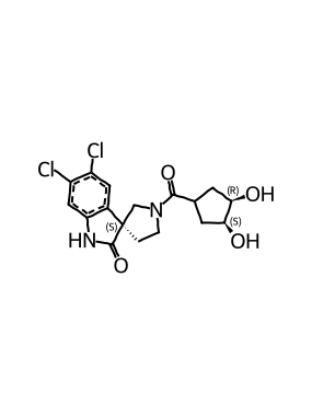 O=C(C1C[C@@H](O)[C@@H](O)C1)N1CC[C@]2(C1)C(=O)Nc1cc(Cl)c(Cl)cc12